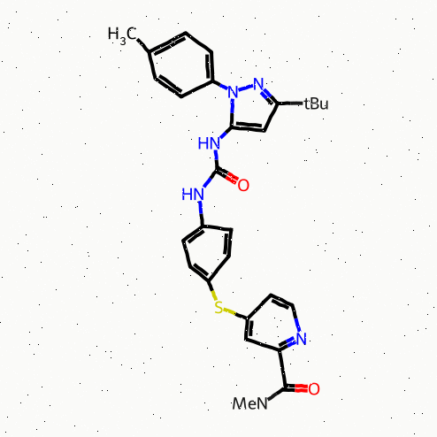 CNC(=O)c1cc(Sc2ccc(NC(=O)Nc3cc(C(C)(C)C)nn3-c3ccc(C)cc3)cc2)ccn1